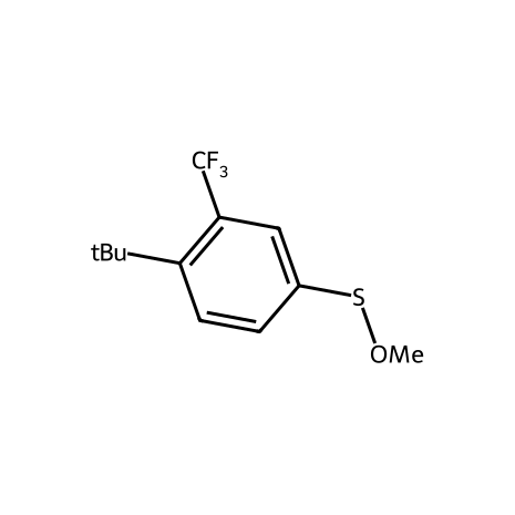 COSc1ccc(C(C)(C)C)c(C(F)(F)F)c1